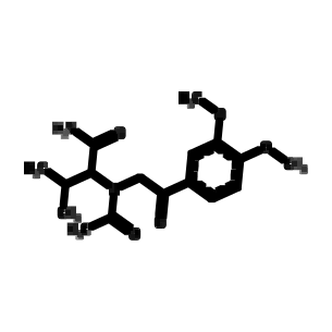 COc1ccc(C(=O)CN(C(C)=O)C(C(N)=O)C(C)C)cc1OC